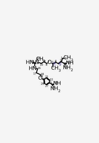 C=C/C(=C\C=C(/C)OCCCN(C)C(=N)NCCCOc1ccc(C(=N)N)cc1)C(=N)N